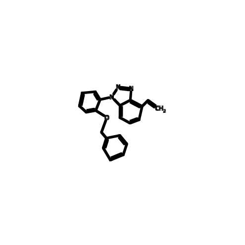 C=Cc1cccc2c1nnn2-c1ccccc1OCc1ccccc1